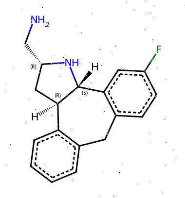 NC[C@H]1C[C@@H]2c3ccccc3Cc3ccc(F)cc3[C@H]2N1